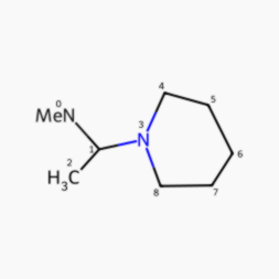 CNC(C)N1CCCCC1